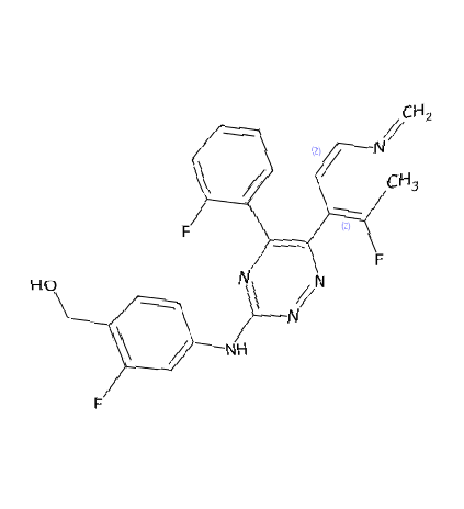 C=N/C=C\C(=C(/C)F)c1nnc(Nc2ccc(CO)c(F)c2)nc1-c1ccccc1F